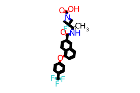 C[C@H](NC(=O)c1ccc2c(Oc3ccc(C(F)(F)F)cc3)cccc2c1)C1(F)CN(C(=O)O)C1